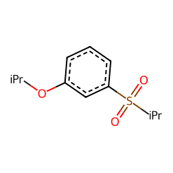 CC(C)Oc1cccc(S(=O)(=O)C(C)C)c1